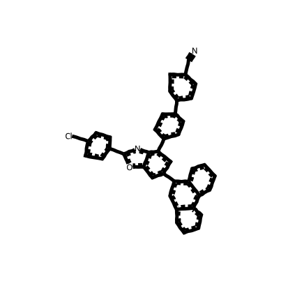 N#Cc1ccc(-c2ccc(-c3cc(-c4cc5ccccc5c5ccccc45)cc4oc(-c5ccc(Cl)cc5)nc34)cc2)cc1